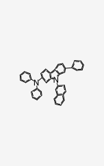 c1ccc(-c2ccc3c4ccc(N(c5ccccc5)c5ccccc5)cc4n(-c4ccc5ccccc5c4)c3c2)cc1